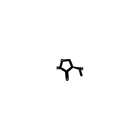 CN[C@@H]1CONC1=O